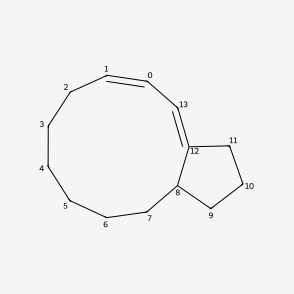 C1=CCCCCCCC2CCCC2=C1